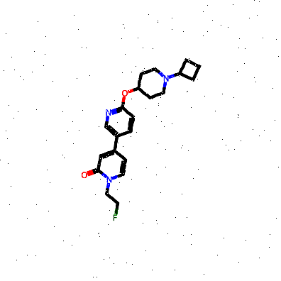 O=c1cc(-c2ccc(OC3CCN(C4CCC4)CC3)nc2)ccn1CCF